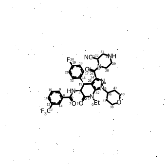 CCN1C(=O)[C@@H](NC(=O)c2cccc(C(F)(F)F)c2)[C@@H](c2ccc(F)cc2)c2c(C(=O)N3CCNCC3C#N)nn(C3CCOCC3)c21